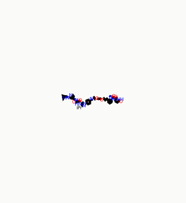 CC(C)c1nn([C@H]2CC[C@H](CN(C)CCOCCOCCCc3cccc4c3n(C)c(=O)n4C3CCC(=O)NC3=O)CC2)cc1NC(=O)c1coc(-c2ccnc(NCC3CC3)c2)n1